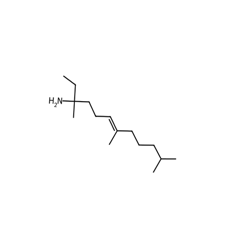 CCC(C)(N)CC/C=C(\C)CCCC(C)C